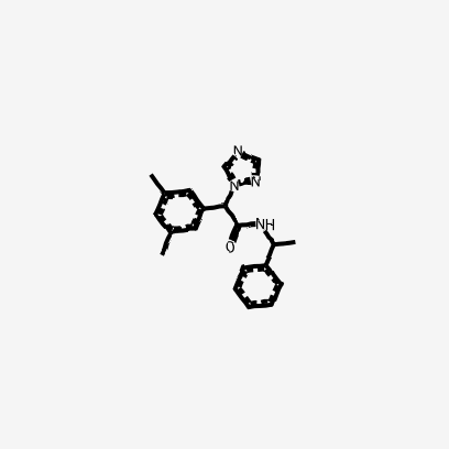 Cc1cc(C)cc(C(C(=O)NC(C)c2ccccc2)n2cncn2)c1